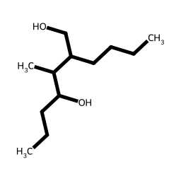 CCCCC(CO)C(C)C(O)CCC